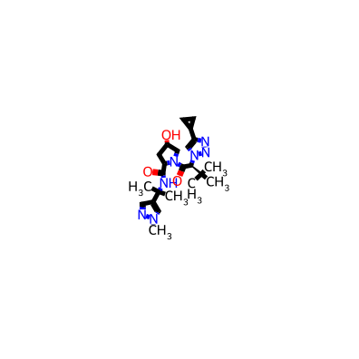 Cn1cc(C(C)(C)NC(=O)C2CC(O)CN2C(=O)[C@@H](n2cc(C3CC3)nn2)C(C)(C)C)cn1